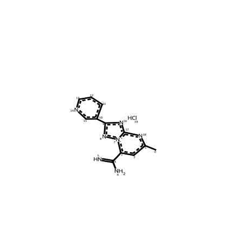 Cc1cc(C(=N)N)n2nc(-c3cccnc3)nc2n1.Cl